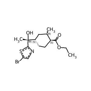 CCOC(=O)[C@H]1CC[C@H]([C@@](C)(O)c2ncc(Br)s2)C[C@H]1C